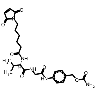 CC(C)[C@H](NC(=O)CCCCCN1C(=O)C=CC1=O)C(=O)NCC(=O)Nc1ccc(COC(N)=O)cc1